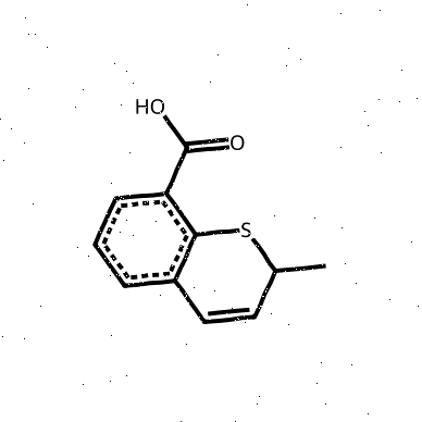 CC1C=Cc2cccc(C(=O)O)c2S1